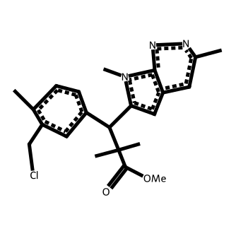 COC(=O)C(C)(C)C(c1ccc(C)c(CCl)c1)c1cc2cc(C)nnc2n1C